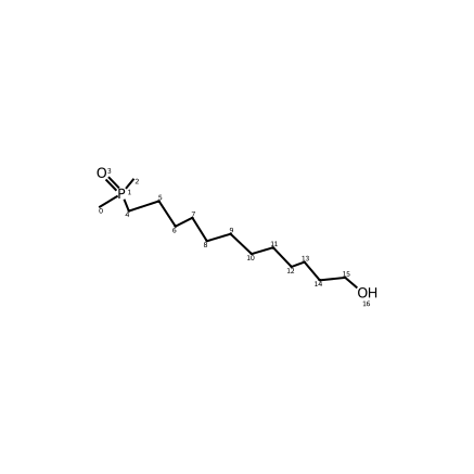 CP(C)(=O)CCCCCCCCCCCCO